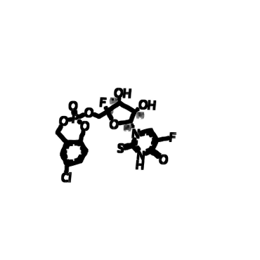 O=c1[nH]c(=S)n([C@@H]2O[C@](F)(COP3(=O)OCc4cc(Cl)ccc4O3)[C@@H](O)[C@H]2O)cc1F